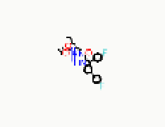 CCCC[C@@H](CNC(=O)c1[nH]c2ccc(-c3ccc(F)cc3)cc2c1-c1ccc(F)cc1)NC(=O)OC(C)(C)C